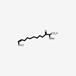 CCCCCCCC/C=C\CCCCCCCC(=O)C(NC)C(=O)O